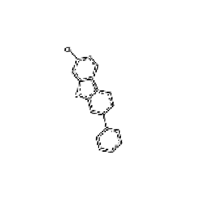 Clc1ccc2c(c1)sc1cc(-c3ccccc3)ccc12